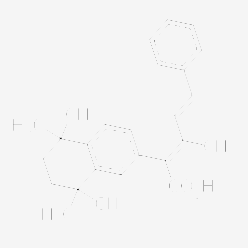 CC(C=Cc1ccccc1)=C(C(=O)O)c1ccc2c(c1)C(C)(C)CCC2(C)C